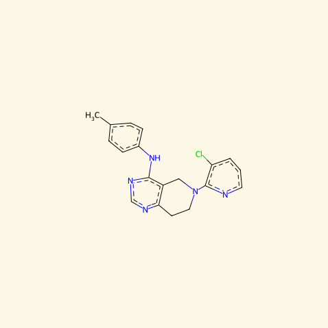 Cc1ccc(Nc2ncnc3c2CN(c2ncccc2Cl)CC3)cc1